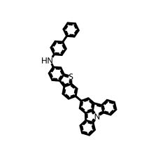 c1ccc(-c2ccc(Nc3ccc4c(c3)sc3cc(-c5cc6c7ccccc7n7c8ccccc8c(c5)c67)ccc34)cc2)cc1